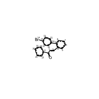 O=C(C=Cc1ccccc1-c1ccc(Br)cc1)c1ccccc1